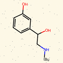 CC(C)(C)NCC(O)c1cc[c]c(O)c1